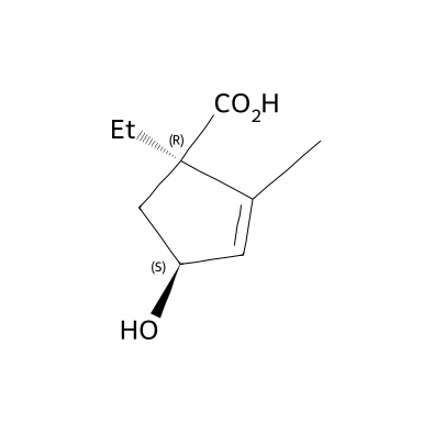 CC[C@@]1(C(=O)O)C[C@H](O)C=C1C